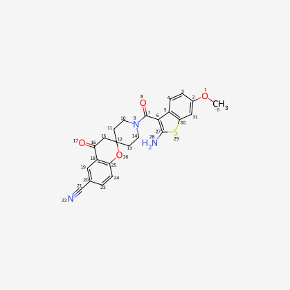 COc1ccc2c(C(=O)N3CCC4(CC3)CC(=O)c3cc(C#N)ccc3O4)c(N)sc2c1